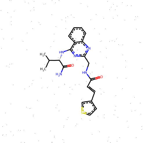 CC(C)[C@H](Nc1nc(CNC(=O)/C=C/c2ccsc2)nc2ccccc12)C(N)=O